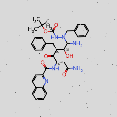 CC(C)(C)OC(=O)NN(Cc1ccccc1)C(N)[C@@H](O)[C@H](Cc1ccccc1)C(=O)[C@H](CC(N)=O)NC(=O)c1ccc2ccccc2n1